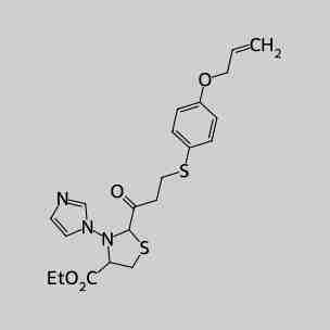 C=CCOc1ccc(SCCC(=O)C2SCC(C(=O)OCC)N2n2ccnc2)cc1